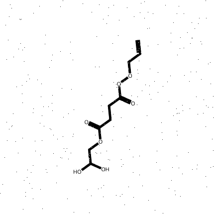 C=CCOOC(=O)CCC(=O)OCC(O)O